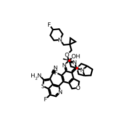 C[C@@H](O)CN1CC2CCC(C1)N2c1nc(OCC2(CN3CCC(F)CC3)CC2)nc2c(F)c(-c3ncc(F)c4sc(N)c(C#N)c34)c3c(c12)COC3